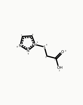 O=C(O)CSn1ccnn1